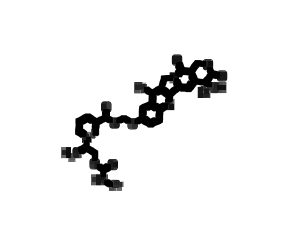 C=C(COC(=O)NC(C)C)[n+]1cccc(C(=O)OCOc2ccc3nc4c(c(CC)c3c2)Cn2c-4cc3c(c2=O)COC(=O)[C@]3(O)CC)c1